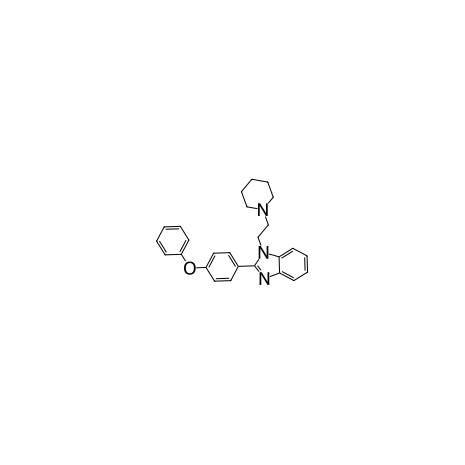 c1ccc(Oc2ccc(-c3nc4ccccc4n3CCN3CCCCC3)cc2)cc1